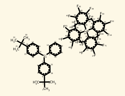 CC(C)(C)c1ccc([S+](c2ccccc2)c2ccc(C(C)(C)C)cc2)cc1.Fc1c(F)c(F)[c]([Ga-]([c]2c(F)c(F)c(F)c(F)c2F)([c]2c(F)c(F)c(F)c(F)c2F)[c]2c(F)c(F)c(F)c(F)c2F)c(F)c1F